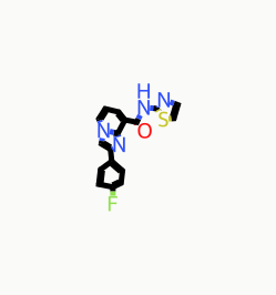 O=C(Nc1nccs1)c1cccn2cc(-c3ccc(F)cc3)nc12